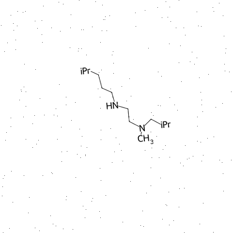 CC(C)CCCNCCN(C)CC(C)C